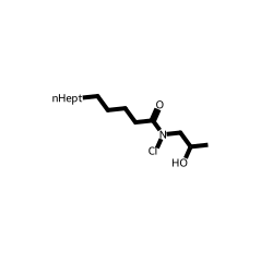 CCCCCCCCCCCC(=O)N(Cl)CC(C)O